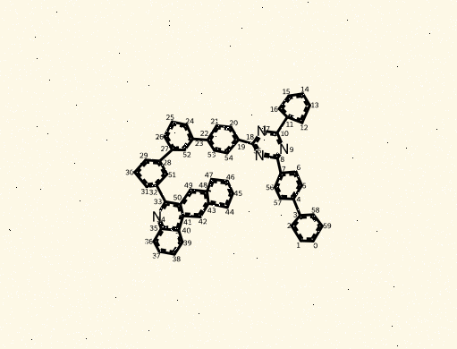 c1ccc(-c2ccc(-c3nc(-c4ccccc4)nc(-c4ccc(-c5cccc(-c6cccc(-c7nc8ccccc8c8cc9ccccc9cc78)c6)c5)cc4)n3)cc2)cc1